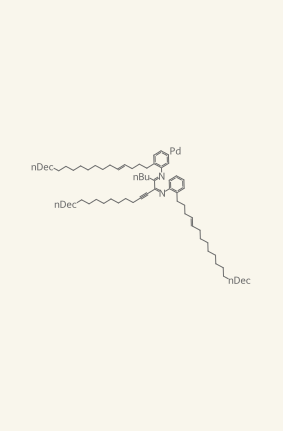 CCCCCCCCCCCCCCCCCCC#CC(=Nc1ccccc1CCCC=CCCCCCCCCCCCCCCCCCC)C(CCCC)=Nc1ccccc1CCCC=CCCCCCCCCCCCCCCCCCC.[Pd]